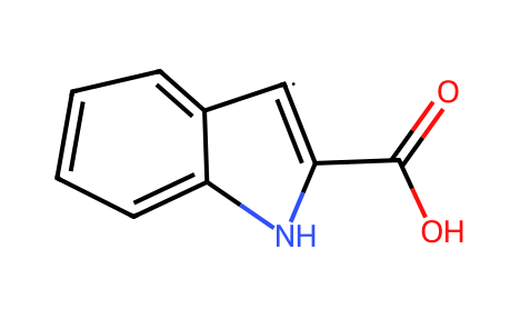 O=C(O)c1[c]c2ccccc2[nH]1